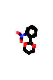 O=[N+]([O-])c1ccccc1B1OCCCO1